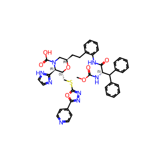 COC(=O)N[C@H](C(=O)Nc1ccccc1CC[C@@H]1CN(C(=O)O)[C@H](c2ncc[nH]2)[C@@H](CSc2nnc(-c3ccncc3)o2)O1)C(c1ccccc1)c1ccccc1